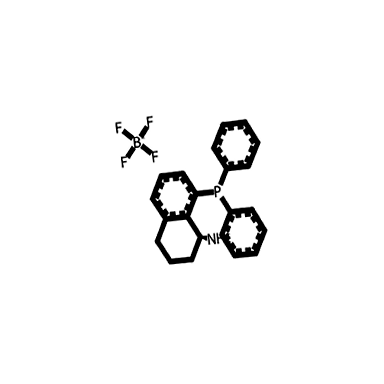 F[B-](F)(F)F.[NH3+][C@H]1CCCc2cccc(P(c3ccccc3)c3ccccc3)c21